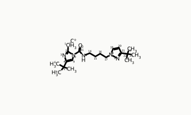 COc1nc(C(C)(C)C)cn1C(=O)NCCCCn1ccc(C(C)(C)C)n1